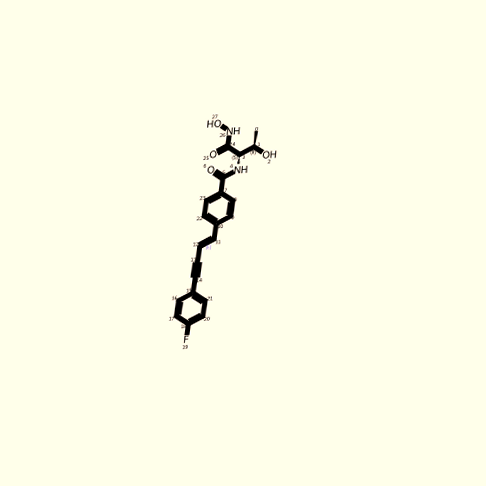 C[C@@H](O)[C@H](NC(=O)c1ccc(/C=C/C#Cc2ccc(F)cc2)cc1)C(=O)NO